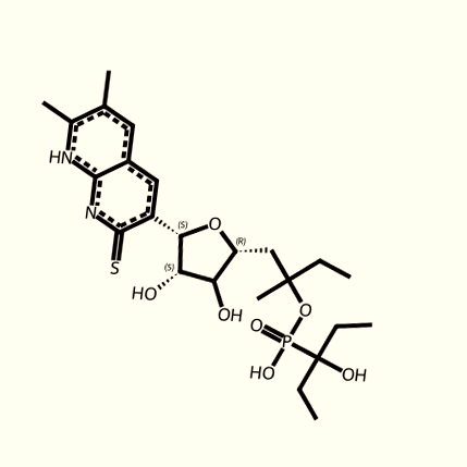 CCC(C)(C[C@H]1O[C@@H](c2cc3cc(C)c(C)[nH]c-3nc2=S)[C@@H](O)C1O)OP(=O)(O)C(O)(CC)CC